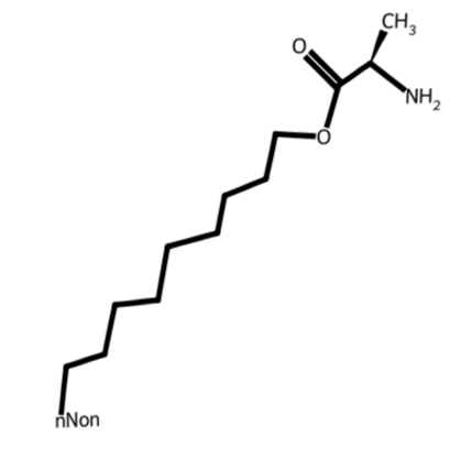 CCCCCCCCCCCCCCCCCCOC(=O)[C@@H](C)N